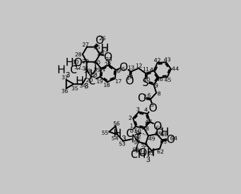 Cc1ccc(OC(=O)Cc2sc(CC(=O)Oc3ccc(C)c4c3O[C@H]3C(=O)CC[C@@]5(O)[C@@H](C)N(CC6CC6)CC[C@]435)c3ccccc23)c2c1[C@]13CCN(CC4CC4)[C@H](C)[C@]1(O)CCC(=O)[C@@H]3O2